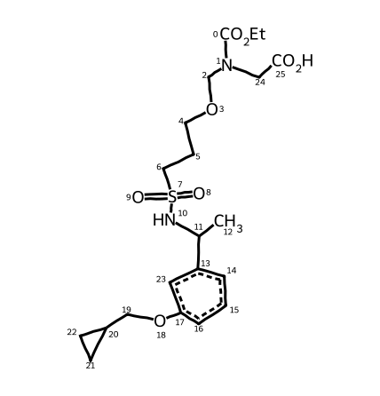 CCOC(=O)N(COCCCS(=O)(=O)NC(C)c1cccc(OCC2CC2)c1)CC(=O)O